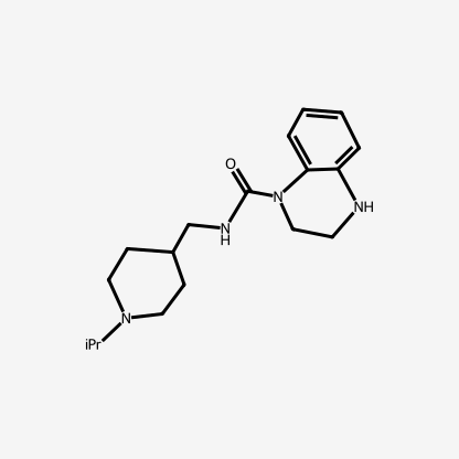 CC(C)N1CCC(CNC(=O)N2CCNc3ccccc32)CC1